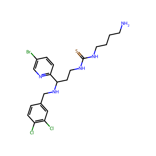 NCCCCNC(=S)NCCC(NCc1ccc(Cl)c(Cl)c1)c1ccc(Br)cn1